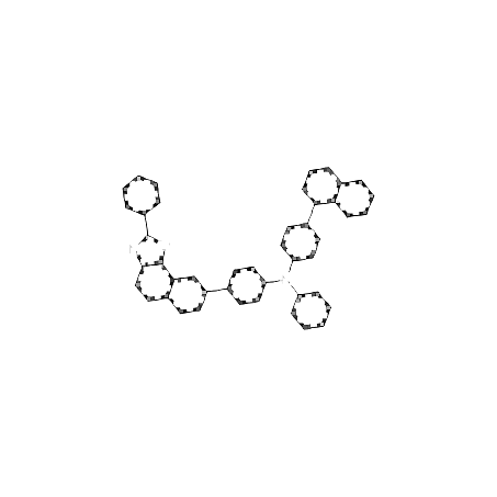 c1ccc(-c2nc3ccc4ccc(-c5ccc(N(c6ccccc6)c6ccc(-c7cccc8ccccc78)cc6)cc5)cc4c3o2)cc1